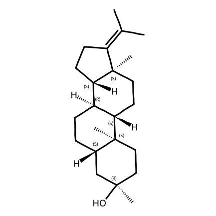 CC(C)=C1CC[C@H]2[C@@H]3CC[C@H]4C[C@](C)(O)CC[C@]4(C)[C@H]3CC[C@]12C